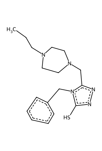 CCCN1CCN(Cc2nnc(S)n2Cc2ccccc2)CC1